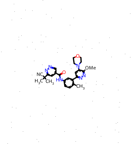 COc1nnc(-c2cc(NC(=O)c3cnnc(C(C)(C)C#N)c3)ccc2C)cc1N1CCOCC1